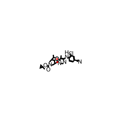 Cc1c(Nc2ccc(C#N)cc2Cl)ncnc1OC1C2CN(C(=O)OC3(C)CC3)CC1C(C)OC2C